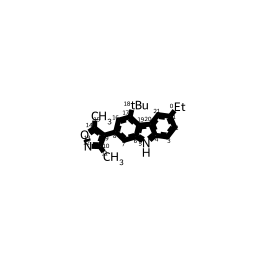 CCc1ccc2[nH]c3cc(-c4c(C)noc4C)cc(C(C)(C)C)c3c2c1